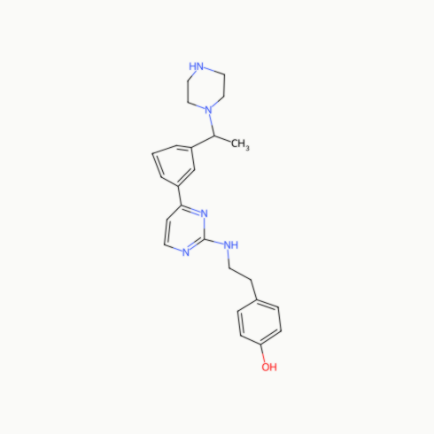 CC(c1cccc(-c2ccnc(NCCc3ccc(O)cc3)n2)c1)N1CCNCC1